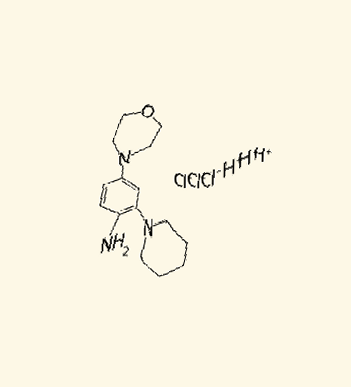 Nc1ccc(N2CCOCC2)cc1N1CCCCC1.[Cl-].[Cl-].[Cl-].[H+].[H+].[H+]